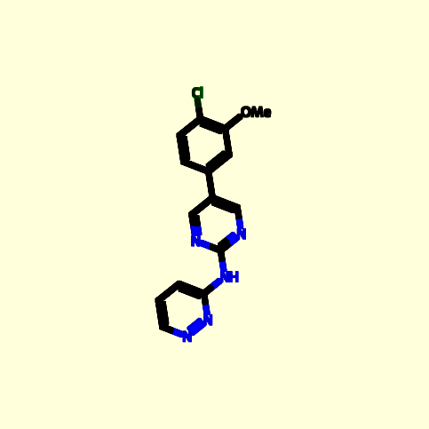 COc1cc(-c2cnc(Nc3cccnn3)nc2)ccc1Cl